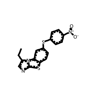 CCc1cnc2sc3ccc(Sc4ccc([N+](=O)[O-])cc4)cc3n12